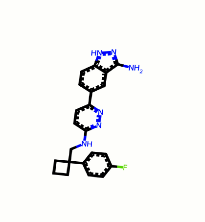 Nc1n[nH]c2ccc(-c3ccc(NCC4(c5ccc(F)cc5)CCC4)nn3)cc12